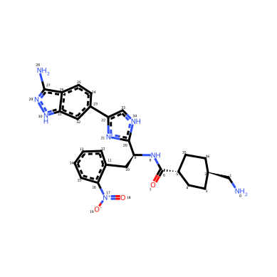 NC[C@H]1CC[C@H](C(=O)N[C@@H](Cc2ccccc2[N+](=O)[O-])c2nc(-c3ccc4c(N)n[nH]c4c3)c[nH]2)CC1